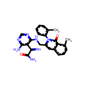 Cc1ccccc1-n1c(CNc2ncnc(N)c2C(=N)C(N)=O)cc2cccc(C)c2c1=O